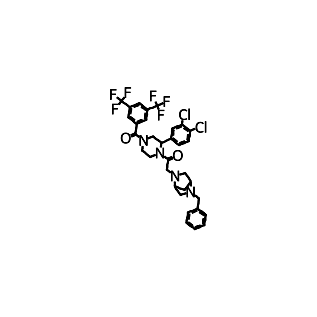 O=C(c1cc(C(F)(F)F)cc(C(F)(F)F)c1)N1CCN(C(=O)CN2CC3CC2CN3Cc2ccccc2)C(c2ccc(Cl)c(Cl)c2)C1